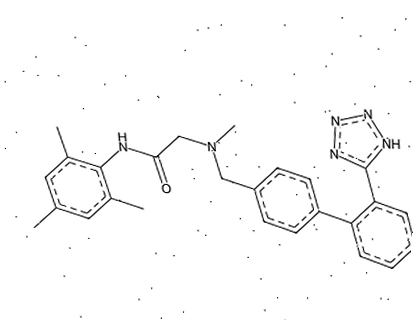 Cc1cc(C)c(NC(=O)CN(C)Cc2ccc(-c3ccccc3-c3nnn[nH]3)cc2)c(C)c1